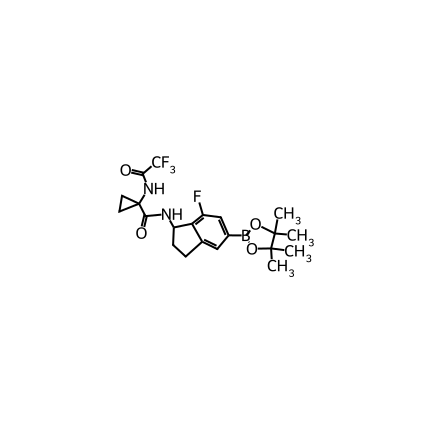 CC1(C)OB(c2cc(F)c3c(c2)CCC3NC(=O)C2(NC(=O)C(F)(F)F)CC2)OC1(C)C